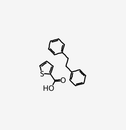 O=C(O)c1cccs1.c1ccc(CCc2ccccc2)cc1